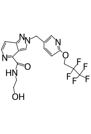 O=C(NCCO)c1nccc2nn(Cc3ccc(OCC(F)(F)C(F)(F)F)nc3)cc12